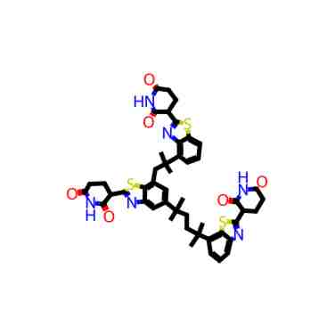 CC(C)(CCC(C)(C)c1cccc2nc(C3CCC(=O)NC3=O)sc12)c1cc(CC(C)(C)c2cccc3sc(C4CCC(=O)NC4=O)nc23)c2sc(C3CCC(=O)NC3=O)nc2c1